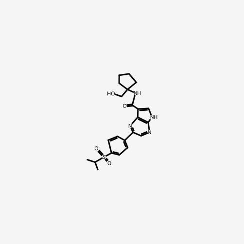 CC(C)S(=O)(=O)c1ccc(-c2cnc3[nH]cc(C(=O)NC4(CO)CCCC4)c3n2)cc1